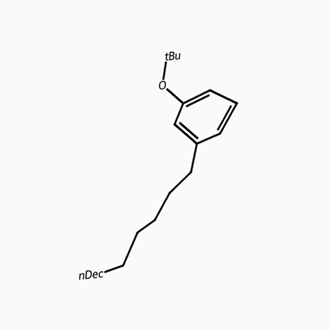 [CH2]C(C)(C)Oc1cccc(CCCCCCCCCCCCCCC)c1